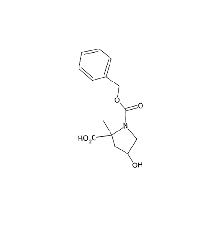 CC1(C(=O)O)CC(O)CN1C(=O)OCc1ccccc1